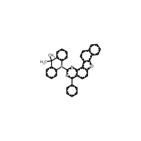 CC1(C)c2ccccc2N(c2nc(-c3ccccc3)c3ccc4oc5c6ccccc6ccc5c4c3n2)c2ccccc21